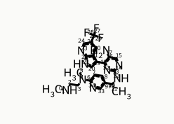 CNCCN(C)c1ccc([C@@H](C)Nc2ncc(N)c(-c3c[nH]c4ncc(C(F)(F)F)cc34)n2)cn1